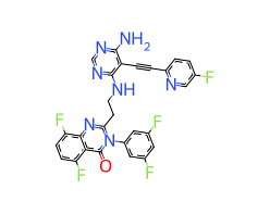 Nc1ncnc(NCCc2nc3c(F)ccc(F)c3c(=O)n2-c2cc(F)cc(F)c2)c1C#Cc1ccc(F)cn1